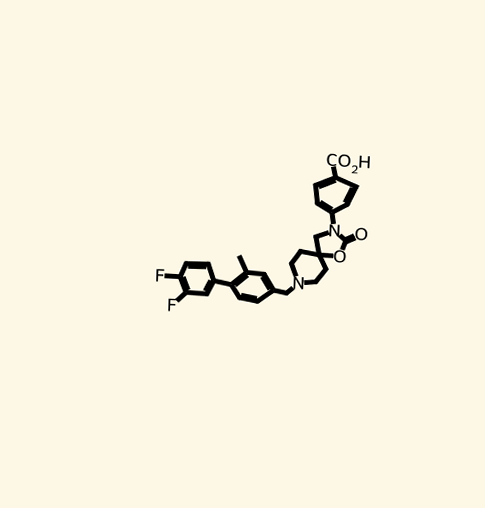 Cc1cc(CN2CCC3(CC2)CN(c2ccc(C(=O)O)cc2)C(=O)O3)ccc1-c1ccc(F)c(F)c1